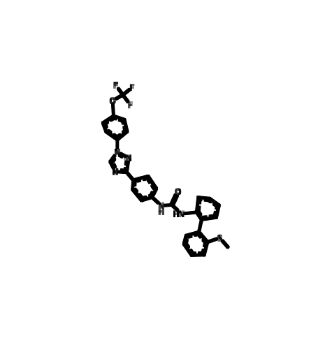 CSc1ccccc1-c1ccccc1NC(=O)Nc1ccc(-c2ncn(-c3ccc(OC(F)(F)F)cc3)n2)cc1